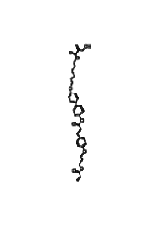 C=CC(=O)OCCCOc1ccc(/C=C/C(=O)Oc2ccc(-c3ccc(OCCCCCCOC(=O)C(=C)CO)cc3)cc2)cc1